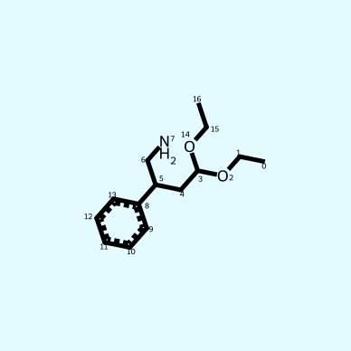 CCOC(CC(CN)c1ccccc1)OCC